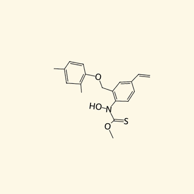 C=Cc1ccc(N(O)C(=S)OC)c(COc2ccc(C)cc2C)c1